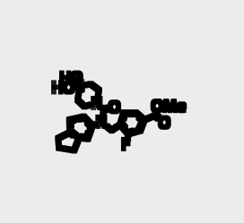 COC(=O)c1ccc(CN(C(=O)N2CCS(O)(O)CC2)c2ccc3c(c2)CCC3)c(F)c1